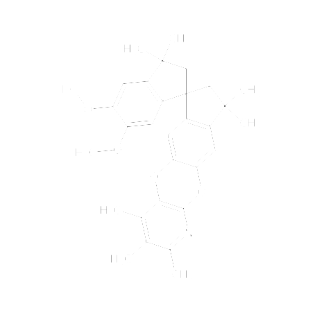 COc1cc2c(cc1OC)C1(CC2(C)C)CC(C)(C)c2cc3c(cc21)Oc1c(nc(C)c(C)c1C)O3